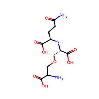 NC(=O)CC[C@@H](N[C@@H](COCC(N)C(=O)O)C(=O)O)C(=O)O